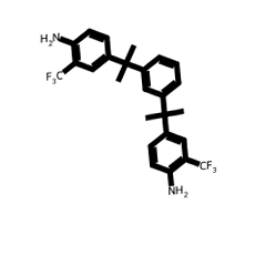 CC(C)(c1cccc(C(C)(C)c2ccc(N)c(C(F)(F)F)c2)c1)c1ccc(N)c(C(F)(F)F)c1